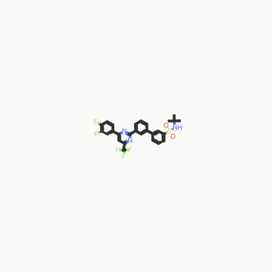 CC(C)(C)NS(=O)(=O)c1cccc(-c2cccc(-c3nc(-c4ccc(F)c(F)c4)cc(C(F)(F)F)n3)c2)c1